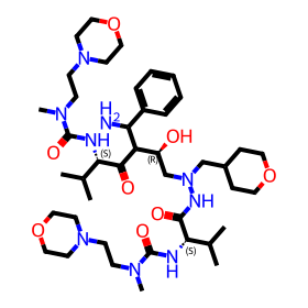 CC(C)[C@H](NC(=O)N(C)CCN1CCOCC1)C(=O)NN(CC1CCOCC1)C[C@H](O)C(C(=O)[C@@H](NC(=O)N(C)CCN1CCOCC1)C(C)C)C(N)c1ccccc1